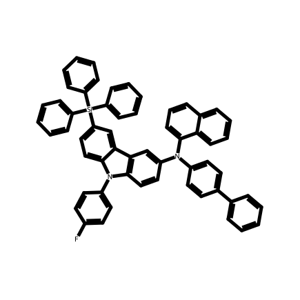 Fc1ccc(-n2c3ccc(N(c4ccc(-c5ccccc5)cc4)c4cccc5ccccc45)cc3c3cc([Si](c4ccccc4)(c4ccccc4)c4ccccc4)ccc32)cc1